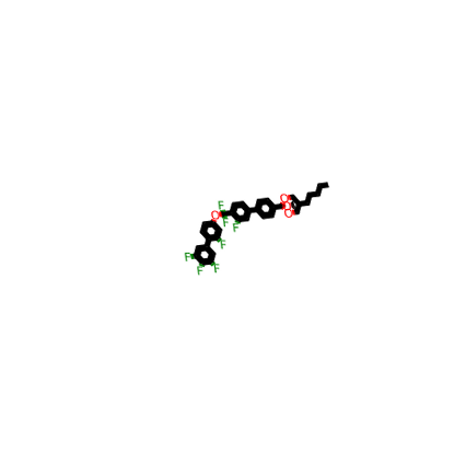 CCCCCC12COC(c3ccc(-c4ccc(C(F)(F)Oc5ccc(-c6cc(F)c(F)c(F)c6)c(F)c5)c(F)c4)cc3)(OC1)OC2